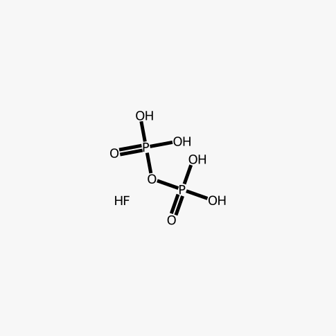 F.O=P(O)(O)OP(=O)(O)O